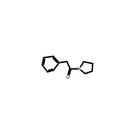 O=C(Cc1ccccc1)N1[CH]CCC1